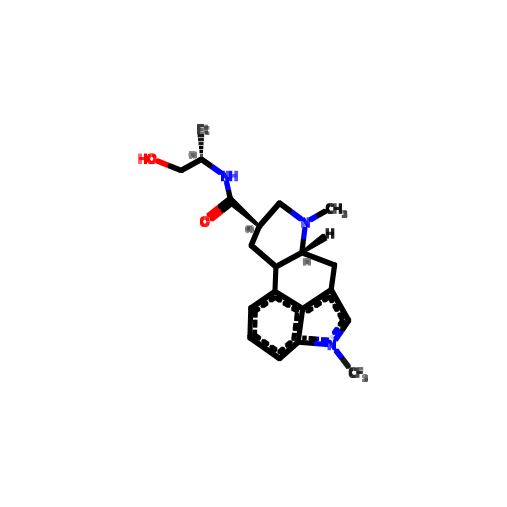 CC[C@@H](CO)NC(=O)[C@@H]1CC2c3cccc4c3c(cn4C(F)(F)F)C[C@H]2N(C)C1